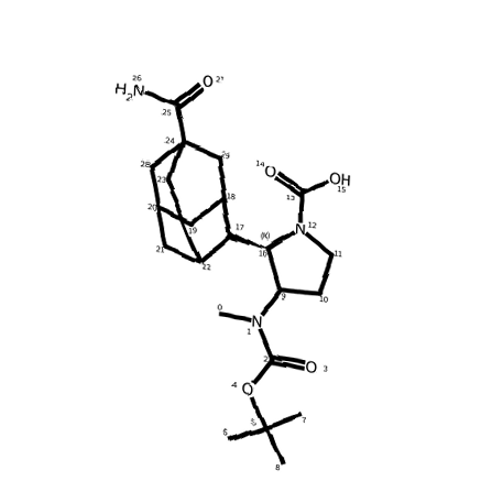 CN(C(=O)OC(C)(C)C)C1CCN(C(=O)O)[C@@H]1C1C2CC3CC1CC(C(N)=O)(C3)C2